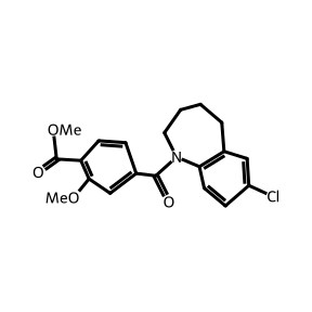 COC(=O)c1ccc(C(=O)N2CCCCc3cc(Cl)ccc32)cc1OC